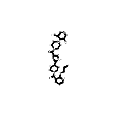 C=CCSc1ncccc1C(=O)N1CCC(c2nc(C(=O)N3CCN(c4c(Cl)cncc4Cl)CC3)cs2)CC1